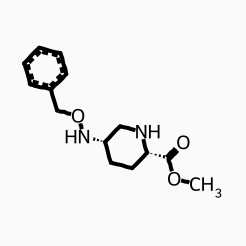 COC(=O)[C@@H]1CC[C@H](NOCc2ccccc2)CN1